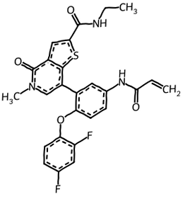 C=CC(=O)Nc1ccc(Oc2ccc(F)cc2F)c(-c2cn(C)c(=O)c3cc(C(=O)NCC)sc23)c1